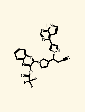 N#CCC(C1CCN(c2nc3ccccc3nc2OC(=O)C(F)(F)F)C1)n1cc(-c2ncnc3[nH]ccc23)cn1